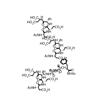 CC(=O)NC(=O)CCc1ccccc1.CC(=O)NS(C)(=O)=O.CC(=O)NS(C)(=O)=O.CC(=O)N[C@@H](CC(=O)O)C(=O)N[C@@H](CCC(=O)O)C(=O)N[C@H](C(=O)N[C@@H](CC(=O)O)C(=O)O)C(C)C.CC(=O)N[C@@H](CC(=O)O)C(=O)N[C@@H](CCC(=O)O)C(=O)N[C@H](C(=O)N[C@@H](CC(=O)O)C(=O)O)C(C)C.CC(=O)N[C@@H](CC(=O)O)C(=O)N[C@@H](CCC(=O)O)C(=O)N[C@H](C(=O)N[C@@H](CC(=O)O)C(=O)O)C(C)C